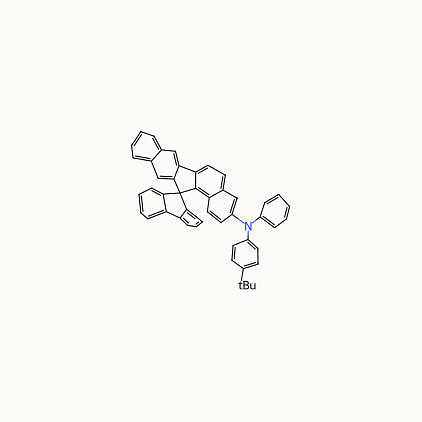 CC(C)(C)c1ccc(N(c2ccccc2)c2ccc3c4c(ccc3c2)-c2cc3ccccc3cc2C42c3ccccc3-c3ccccc32)cc1